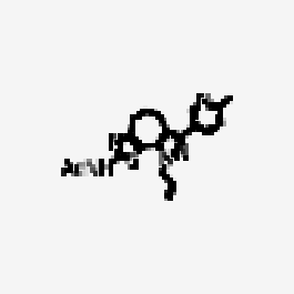 C=CCn1nc(-c2ccc(C)nc2)c2c1-c1sc(NC(C)=O)nc1CCC2